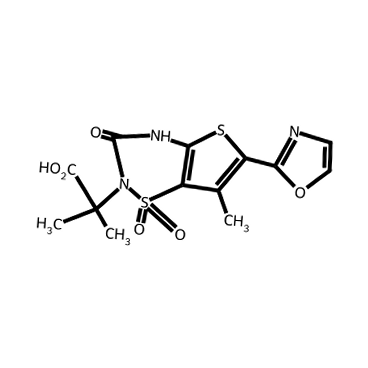 Cc1c(-c2ncco2)sc2c1S(=O)(=O)N(C(C)(C)C(=O)O)C(=O)N2